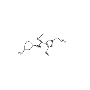 C=Nc1sc(CC(F)(F)F)cc1/C(=N\C)N[C@@H]1CCC[C@H](N)C1